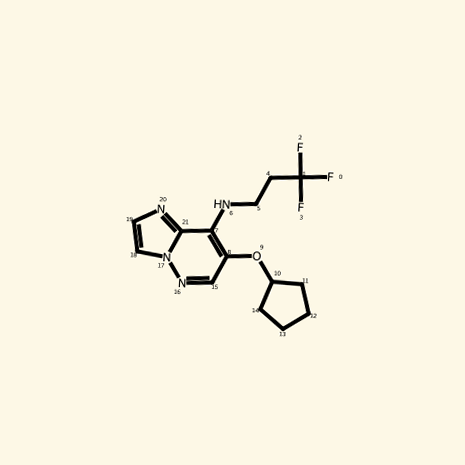 FC(F)(F)CCNc1c(OC2CCCC2)cnn2ccnc12